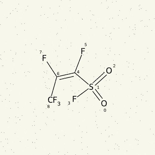 O=S(=O)(F)C(F)=C(F)C(F)(F)F